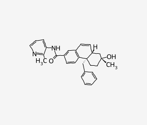 Cc1ncccc1NC(=O)c1ccc2c(c1)C=C[C@@H]1C[C@](C)(O)CC[C@@]21Cc1ccccc1